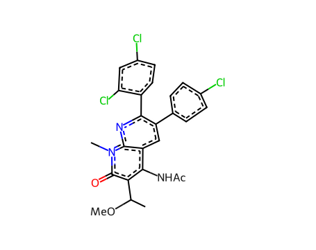 COC(C)c1c(NC(C)=O)c2cc(-c3ccc(Cl)cc3)c(-c3ccc(Cl)cc3Cl)nc2n(C)c1=O